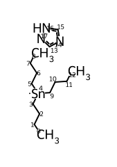 CCC[CH2][Sn]([CH2]CCC)[CH2]CCC.c1nc[nH]n1